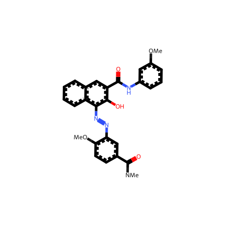 CNC(=O)c1ccc(OC)c(/N=N/c2c(O)c(C(=O)Nc3cccc(OC)c3)cc3ccccc23)c1